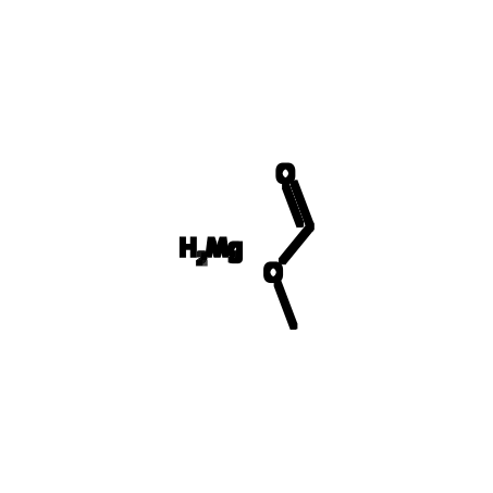 COC=O.[MgH2]